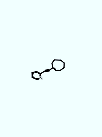 C(#Cc1ccccn1)C1=CCCCCCC1